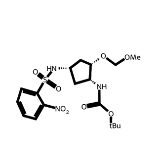 COCO[C@H]1C[C@@H](NS(=O)(=O)c2ccccc2[N+](=O)[O-])C[C@H]1NC(=O)OC(C)(C)C